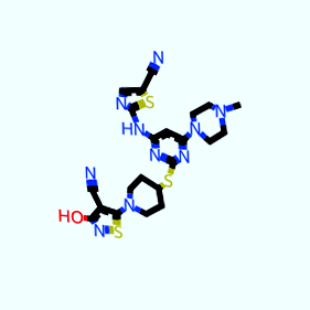 CN1CCN(c2cc(Nc3ncc(C#N)s3)nc(SC3CCN(c4snc(O)c4C#N)CC3)n2)CC1